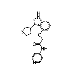 O=C(COc1cccc2[nH]cc(C3CCSC3)c12)Nc1ccncc1